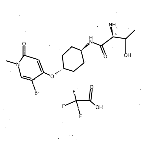 CC(O)[C@H](N)C(=O)N[C@H]1CC[C@H](Oc2cc(=O)n(C)cc2Br)CC1.O=C(O)C(F)(F)F